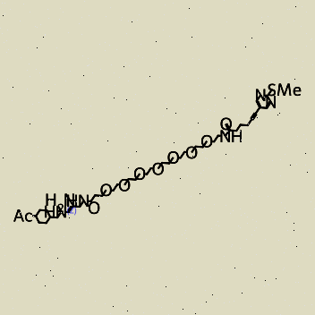 CSc1ncc(C#CCCCC(=O)NCCOCCOCCOCCOCCOCCOCCOCCC(=O)NC/C(N)=C/NCC2CCC(C(C)=O)CC2)cn1